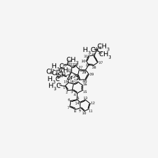 CC1=Cc2c(-c3cccc4ccccc34)cccc2[CH]1[Zr+2]([CH]1C(C(C)C)=Cc2c(-c3ccc(C(C)(C)C)cc3)cccc21)=[Si](C)C.[Cl-].[Cl-]